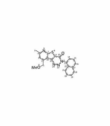 COCc1cc(C)nc2sc3c(=O)n(-c4cccc5ccccc45)nnc3c12